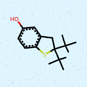 CC(C)(C)C1(C(C)(C)C)Cc2cc(O)ccc2S1